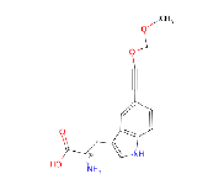 COCOC#Cc1ccc2[nH]cc(C[C@H](N)C(=O)O)c2c1